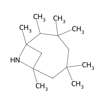 CC1C(C)(C)CC(C)(C)CC2(C)CC1(C)N2